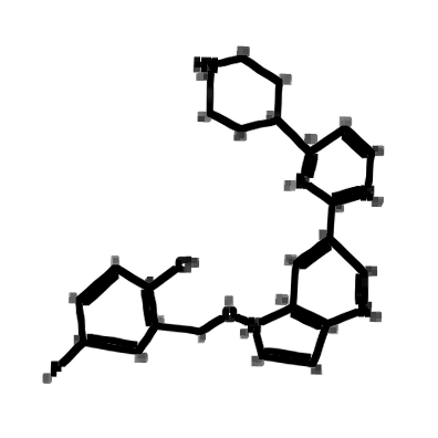 Fc1ccc(Cl)c(COn2ccc3ncc(-c4nccc(C5CCNCC5)n4)cc32)c1